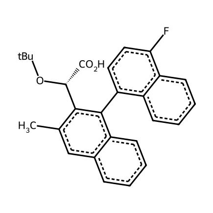 Cc1cc2ccccc2c(-c2ccc(F)c3ccccc23)c1[C@H](OC(C)(C)C)C(=O)O